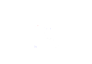 CCC(=O)NCc1ccccc1C#N